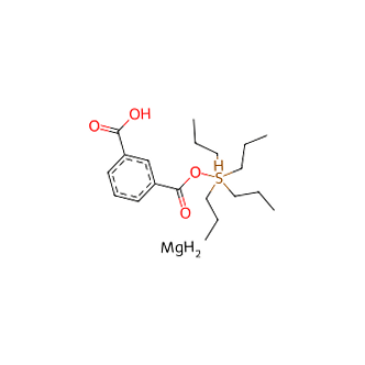 CCC[SH](CCC)(CCC)(CCC)OC(=O)c1cccc(C(=O)O)c1.[MgH2]